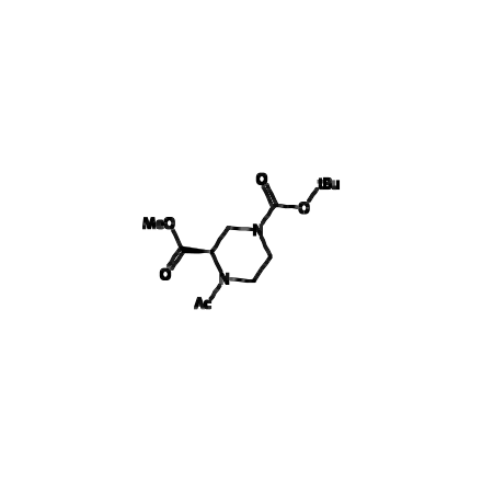 COC(=O)[C@H]1CN(C(=O)OC(C)(C)C)CCN1C(C)=O